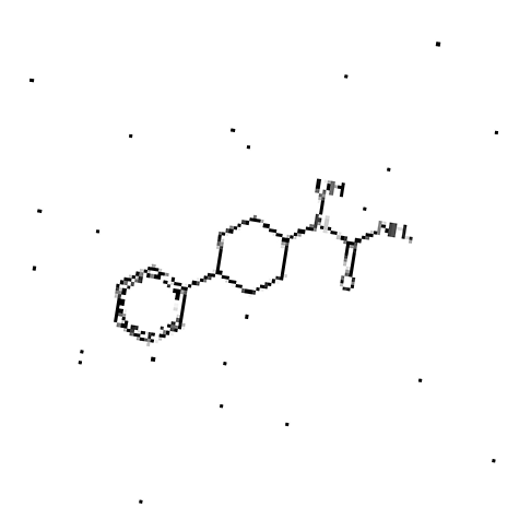 NC(=O)N(O)C1CCC(c2ccccc2)CC1